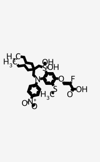 CCCCC1(CCCC)CN(c2ccc([N+](=O)[O-])cc2)c2cc(SC)c(OC=C(F)C(=O)O)cc2S(O)(O)C1